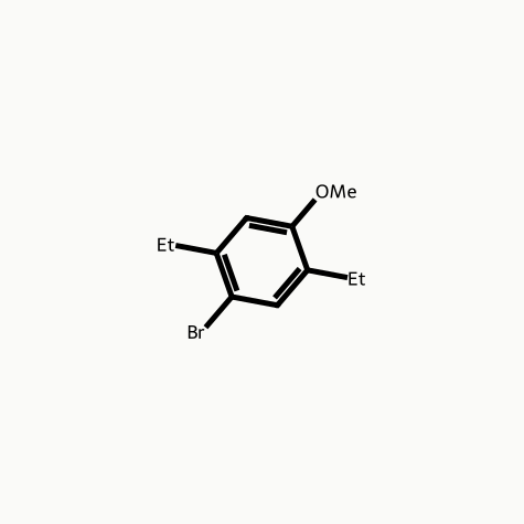 CCc1cc(OC)c(CC)cc1Br